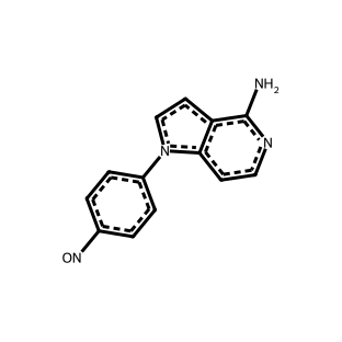 Nc1nccc2c1ccn2-c1ccc(N=O)cc1